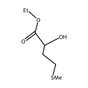 CCOC(=O)C(O)CCSC